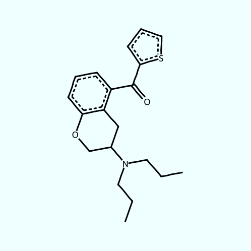 CCCN(CCC)C1COc2cccc(C(=O)c3cccs3)c2C1